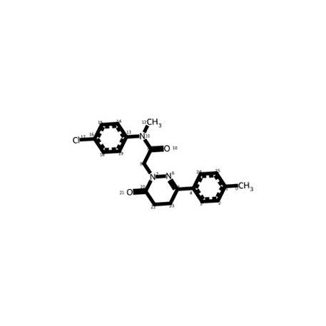 Cc1ccc(C2=NN(CC(=O)N(C)c3ccc(Cl)cc3)C(=O)CC2)cc1